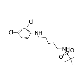 CC(C)(C)S(=O)(=O)NCCCCCNc1ccc(Cl)cc1Cl